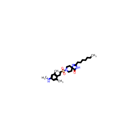 CCCCCCCC1=NC2(CCN(S(=O)(=O)CCc3c(C)cc(NC)cc3C)CC2)C(=O)N1